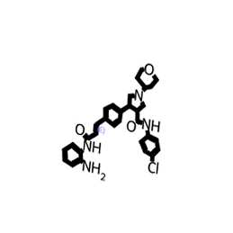 Nc1ccccc1NC(=O)/C=C/c1ccc(C2CN(C3CCOCC3)CC2C(=O)Nc2ccc(Cl)cc2)cc1